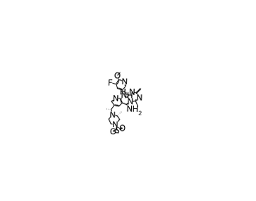 C=C(N)/N=C(C)\N=C(/N)c1cc([C@@H](C)N2CCN(S(C)(=O)=O)C[C@H]2C)cnc1Nc1cnc(OC)c(F)c1